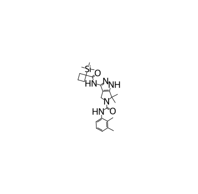 Cc1cccc(NC(=O)N2Cc3c(NC(=O)C4([Si](C)(C)C)CCC4)n[nH]c3C2(C)C)c1C